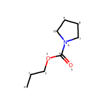 CCCOC(=O)N1C[CH]CC1